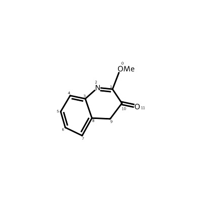 COC1=Nc2ccccc2CC1=O